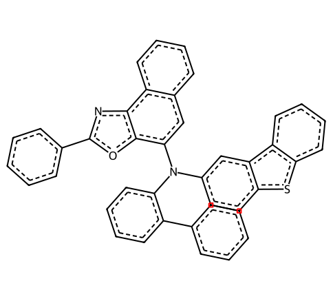 c1ccc(-c2nc3c(o2)c(N(c2ccc4sc5ccccc5c4c2)c2ccccc2-c2ccccc2)cc2ccccc23)cc1